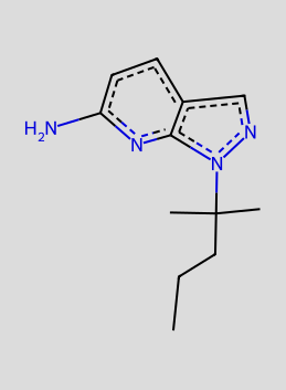 CCCC(C)(C)n1ncc2ccc(N)nc21